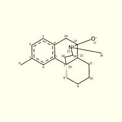 Cc1ccc2c(c1)[C@]13CCCCC1C(C2)[N+](C)([O-])CC3